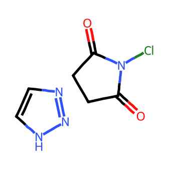 O=C1CCC(=O)N1Cl.c1c[nH]nn1